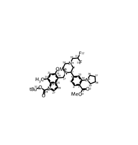 COC(=O)c1ccc(C2CN(CC(F)F)CCN2Cc2c(OC)cc(C)c3c2ccn3C(=O)OC(C)(C)C)cc1N1CCCC1